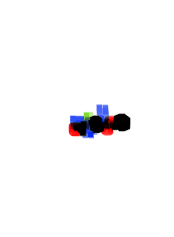 NC(=O)c1cnn(-c2ccc(NC(=O)OCc3ccccc3)cc2F)c1